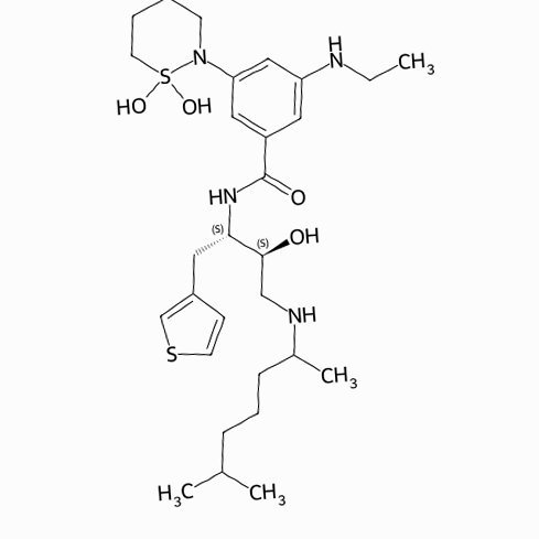 CCNc1cc(C(=O)N[C@@H](Cc2ccsc2)[C@@H](O)CNC(C)CCCC(C)C)cc(N2CCCCS2(O)O)c1